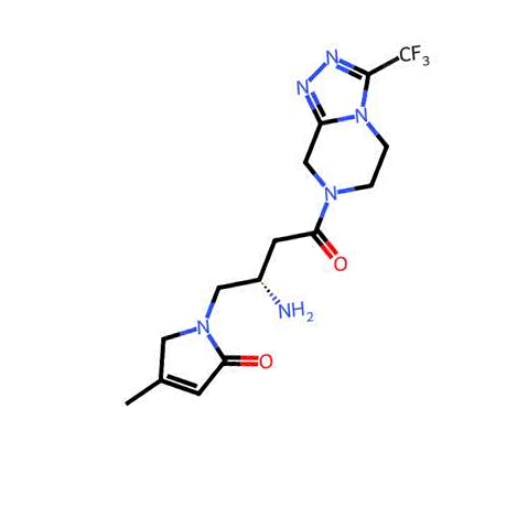 CC1=CC(=O)N(C[C@@H](N)CC(=O)N2CCn3c(nnc3C(F)(F)F)C2)C1